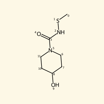 CSNC(=O)N1CCC(O)CC1